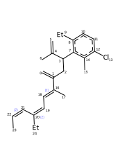 C=C(CC(C(=C)C)c1c(CC)ccc(Cl)c1C)/C(C)=C/C=C(\C=C/C)CC